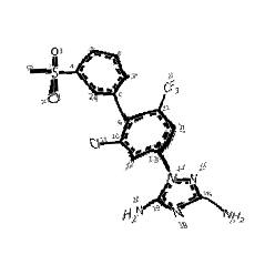 CS(=O)(=O)c1cccc(-c2c(Cl)cc(-n3nc(N)nc3N)cc2C(F)(F)F)c1